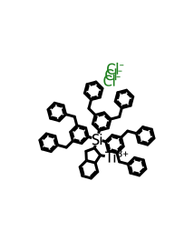 [Cl-].[Cl-].[Cl-].[Ti+3][CH]1C2C=CC=CC2CC1[Si](c1cc(Cc2ccccc2)cc(Cc2ccccc2)c1)(c1cc(Cc2ccccc2)cc(Cc2ccccc2)c1)c1cc(Cc2ccccc2)cc(Cc2ccccc2)c1